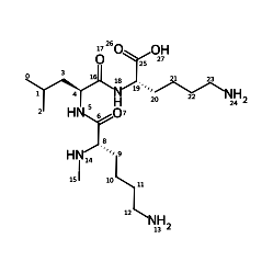 CC(C)C[C@H](NC(=O)[C@H](CCCCN)NI)C(=O)N[C@@H](CCCCN)C(=O)O